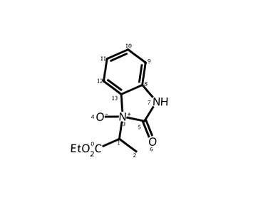 CCOC(=O)C(C)[N+]1([O-])C(=O)Nc2ccccc21